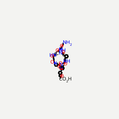 NCCOCCNC(=O)[C@@H]1CCNC(=O)/C=C/C(=O)N2CCC[C@](C(=O)c3ccccc3)(C2)C(=O)N[C@@H](Cc2ccc(-c3ccc4cc(C(=O)O)oc4c3)cc2)C(=O)NCc2ccccc2CC(=O)N1